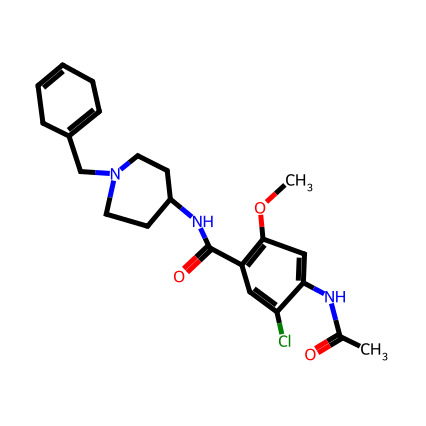 COc1cc(NC(C)=O)c(Cl)cc1C(=O)NC1CCN(CC2=CCC=CC2)CC1